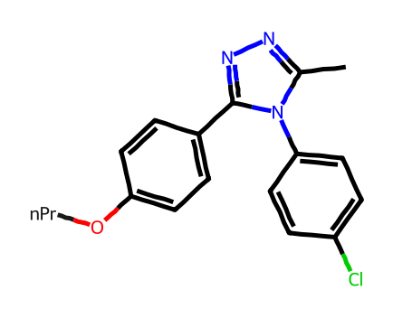 CCCOc1ccc(-c2nnc(C)n2-c2ccc(Cl)cc2)cc1